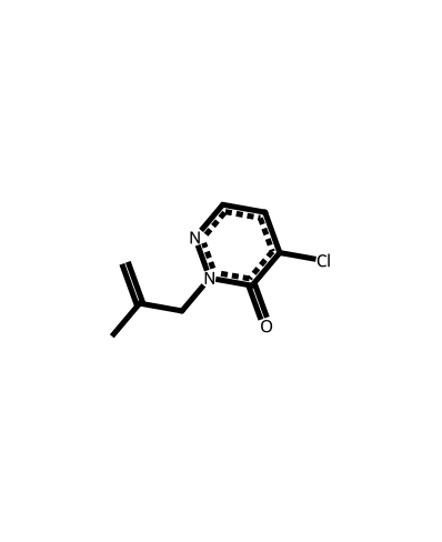 C=C(C)Cn1nccc(Cl)c1=O